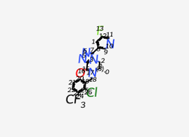 C[C@H]1Cn2c(nnc2-c2cncc(F)c2)C(=O)N1Cc1cccc(C(F)(F)F)c1Cl